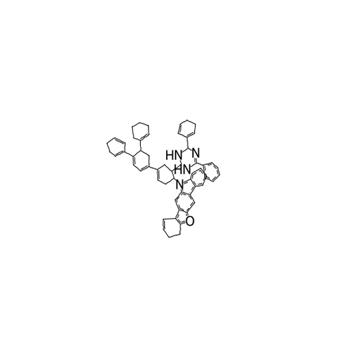 C1=CC(C2=CC=C(C3=CCC(n4c5ccccc5c5cc6oc7c(c6cc54)C=CCC7)C(C4NC(c5ccccc5)=NC(C5=CCCC=C5)N4)C3)CC2C2=CCCCC2)=CCC1